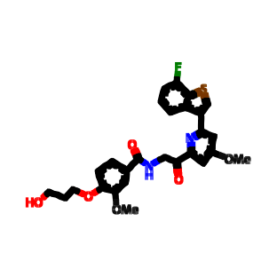 COc1cc(C(=O)CNC(=O)c2ccc(OCCCO)c(OC)c2)nc(-c2csc3c(F)cccc23)c1